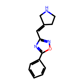 C(=C1/CCNC1)/c1noc(-c2ccccc2)n1